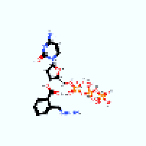 [N-]=[N+]=NCc1ccccc1C(=O)O[C@@H]1C[C@H](n2ccc(N)nc2=O)O[C@@H]1COP(=O)(O)OP(=O)(O)OP(=O)(O)O